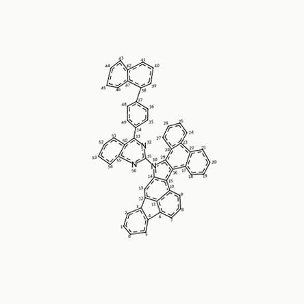 c1ccc2c(c1)-c1cccc3c1c-2cc1c3c2c3ccccc3c3ccccc3c2n1-c1nc(-c2ccc(-c3cccc4ccccc34)cc2)c2ccccc2n1